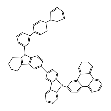 C1=CCC(C2C=CC(c3cccc(-n4c5c(c6cc(-c7ccc8c(c7)c7ccccc7n8-c7ccc8c9ccccc9c9ccccc9c8c7)ccc64)CCCC5)c3)=CC2)C=C1